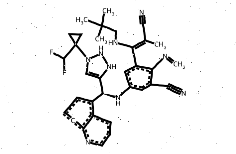 C=Nc1c(C#N)cc(N[C@H](C2=CN(C3(C(F)F)CC3)NN2)c2cccc3ncccc23)cc1/C(NCC(C)(C)C)=C(\C)C#N